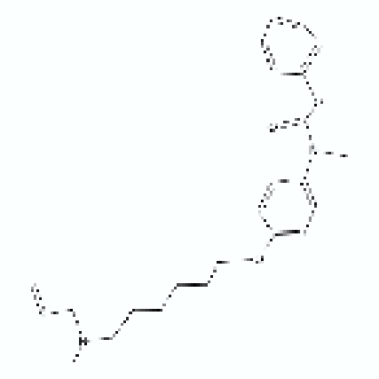 C=CCN(C)CCCCCCOc1ccc(N(C)C(=O)Oc2ccccc2)cc1